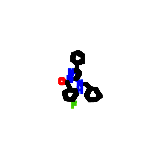 O=C(c1ccc(F)cc1)n1nc(-c2ccccc2)cc1NCc1ccccc1